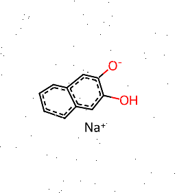 [Na+].[O-]c1cc2ccccc2cc1O